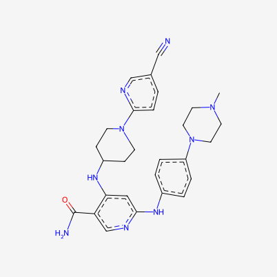 CN1CCN(c2ccc(Nc3cc(NC4CCN(c5ccc(C#N)cn5)CC4)c(C(N)=O)cn3)cc2)CC1